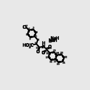 O=C(O)C(Cc1ccc(Cl)cc1)C(=O)NS(=O)(=O)c1ccc2ccccc2c1.[NaH].[NaH]